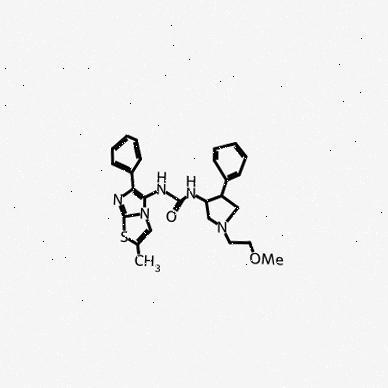 COCCN1CC(NC(=O)Nc2c(-c3ccccc3)nc3sc(C)cn23)C(c2ccccc2)C1